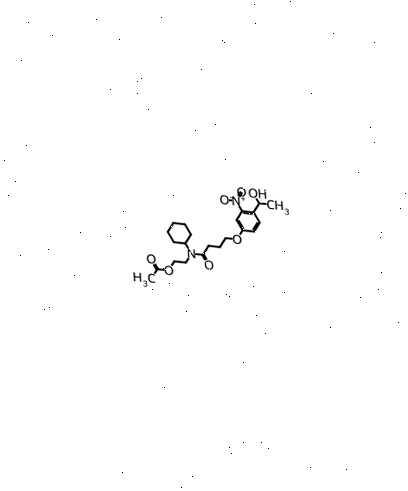 CC(=O)OCCN(C(=O)CCCOc1ccc(C(C)O)c([N+](=O)[O-])c1)C1CCCCC1